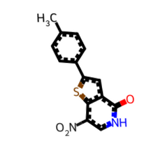 Cc1ccc(-c2cc3c(=O)[nH]cc([N+](=O)[O-])c3s2)cc1